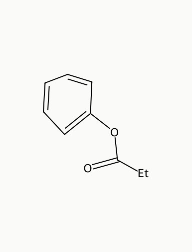 [CH2]CC(=O)Oc1ccccc1